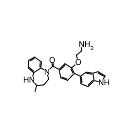 CC1CCN(C(=O)c2ccc(-c3ccc4[nH]ccc4c3)c(OCCN)c2)c2ccccc2N1